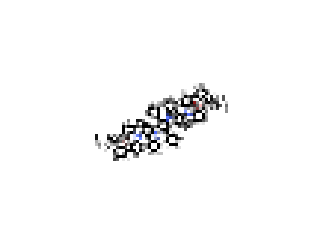 Cc1ccccc1N(c1cccc2c1oc1c(C(C)(C)C)cccc12)c1ccc2c3c(-c4ccccc4)c4c(c(-c5ccccc5)c3n3c5ccccc5c1c23)c1ccc(N(c2ccccc2C)c2cccc3c2oc2c(C(C)(C)C)cccc23)c2c3ccccc3n4c12